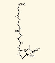 O=CCCOCCCNCCCCC1SCC2NC(=O)NC21